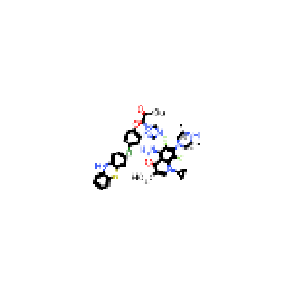 CC(C)(C)C(=O)C(Oc1ccc(Cl)cc1)n1cncn1.C[C@@H]1CN(c2c(F)c(N)c3c(=O)c(C(=O)O)cn(C4CC4)c3c2F)C[C@H](C)N1.c1ccc2c(c1)Nc1ccccc1S2